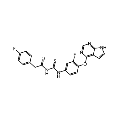 O=C(Cc1ccc(F)cc1)NC(=S)Nc1ccc(Oc2ncnc3[nH]ccc23)c(F)c1